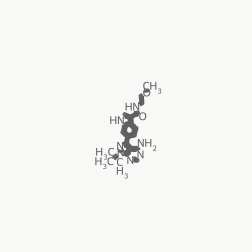 COCCNC(=O)c1c[nH]c2cc(-c3nn(C(C)(C)C)c4ncnc(N)c34)ccc12